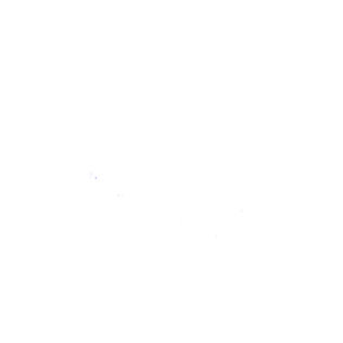 CC(C)(C)OC(=O)C1=c2ccccc2=NC1=O